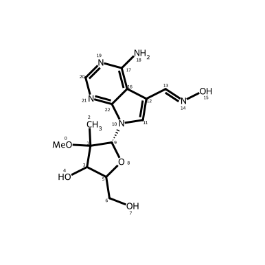 COC1(C)C(O)C(CO)O[C@H]1n1cc(C=NO)c2c(N)ncnc21